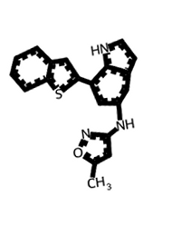 Cc1cc(Nc2cc(-c3cc4ccccc4s3)c3[nH]ccc3c2)no1